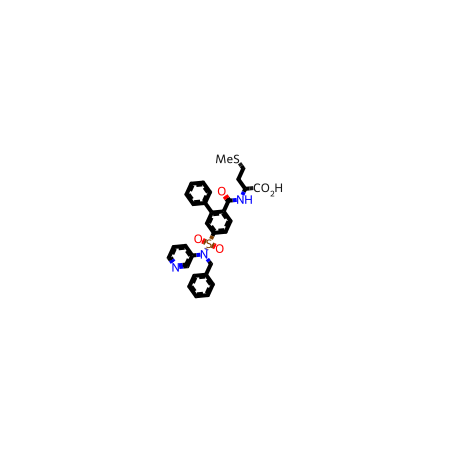 CSCCC(NC(=O)c1ccc(S(=O)(=O)N(Cc2ccccc2)c2cccnc2)cc1-c1ccccc1)C(=O)O